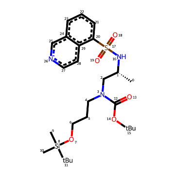 C[C@H](CN(CCCO[Si](C)(C)C(C)(C)C)C(=O)OC(C)(C)C)NS(=O)(=O)c1cccc2cnccc12